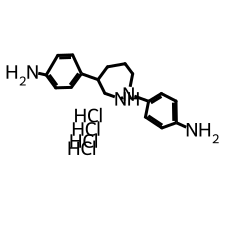 Cl.Cl.Cl.Cl.Nc1ccc(C2CCCN(c3ccc(N)cc3)NC2)cc1